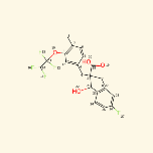 CCC(Cc1ccc(C)c(OC(F)(F)C(F)F)c1)(C(=O)O)C(O)c1ccc(F)cc1